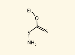 CCOC(=S)SN